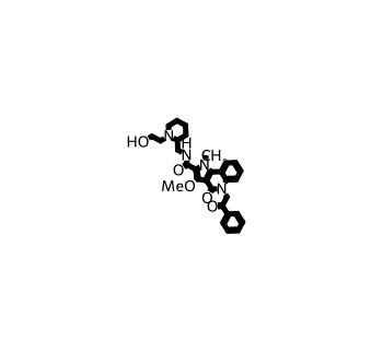 COc1c(C(=O)NCC2CCCCN2CCO)n(C)c2c1c(=O)n(CC(=O)c1ccccc1)c1ccccc21